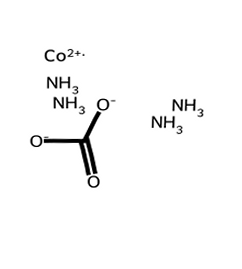 N.N.N.N.O=C([O-])[O-].[Co+2]